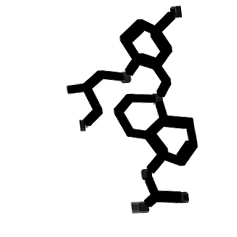 CC(CF)COc1ccc(Cl)cc1CN1CCCc2c(OC(=O)O)cccc21